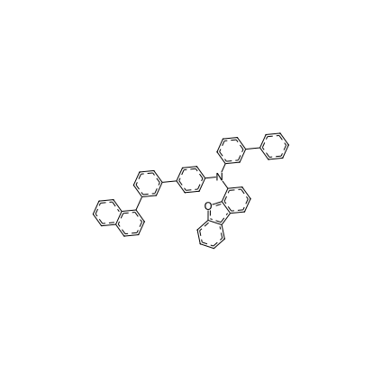 c1ccc(-c2cccc(N(c3ccc(-c4cccc(-c5cccc6ccccc56)c4)cc3)c3cccc4c3oc3ccccc34)c2)cc1